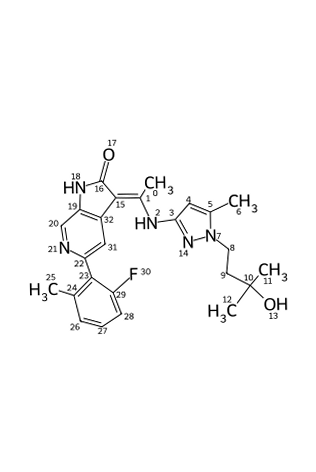 CC(Nc1cc(C)n(CCC(C)(C)O)n1)=C1C(=O)Nc2cnc(-c3c(C)cccc3F)cc21